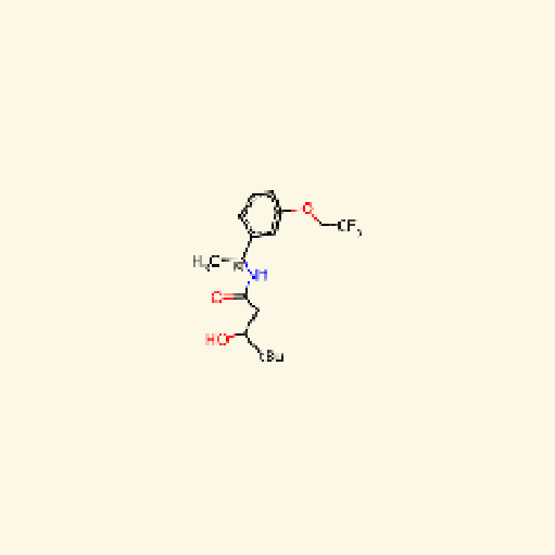 C[C@H](NC(=O)CC(O)C(C)(C)C)c1cccc(OCC(F)(F)F)c1